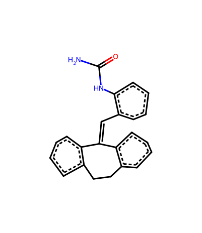 NC(=O)Nc1ccccc1C=C1c2ccccc2CCc2ccccc21